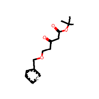 CC(C)(C)OC(=O)CC(=O)CCOCc1ccccc1